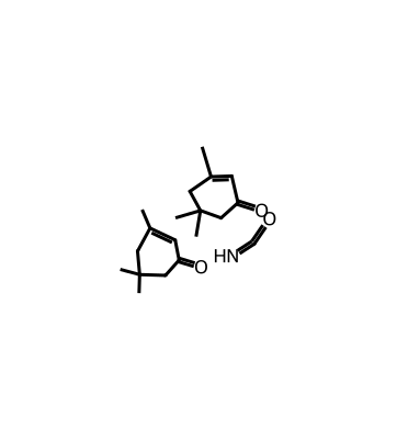 CC1=CC(=O)CC(C)(C)C1.CC1=CC(=O)CC(C)(C)C1.N=C=O